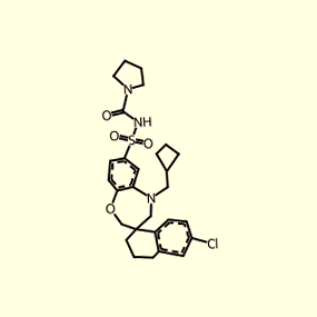 O=C(NS(=O)(=O)c1ccc2c(c1)N(CC1CCC1)CC1(CCCc3cc(Cl)ccc31)CO2)N1CCCC1